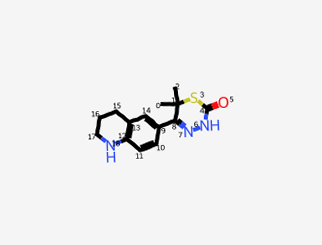 CC1(C)SC(=O)NN=C1c1ccc2c(c1)CCCN2